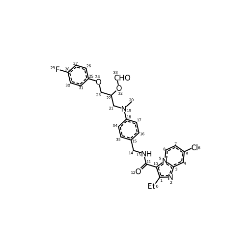 CCc1nc2cc(Cl)ccn2c1C(=O)NCc1ccc(N(C)CC(COc2ccc(F)cc2)OC=O)cc1